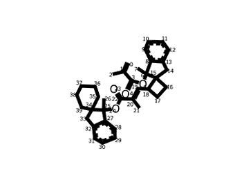 C=C(C)C(=O)OC1(C)c2ccccc2CC12CCC2/C=C(\C)C(=O)OC1(C)c2ccccc2CC12CCCCC2